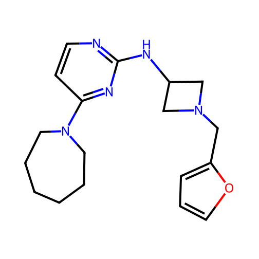 c1coc(CN2CC(Nc3nccc(N4CCCCCC4)n3)C2)c1